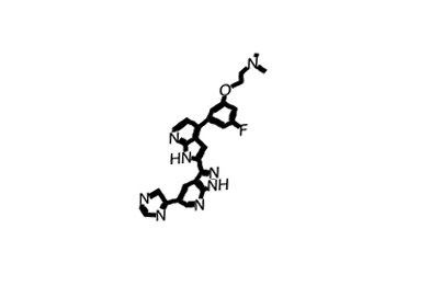 CN(C)CCOc1cc(F)cc(-c2ccnc3[nH]c(-c4n[nH]c5ncc(-c6cnccn6)cc45)cc23)c1